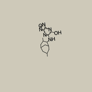 CC1CC2CC(C)C(Nc3nc4nonc4nc3O)C(C1)C2